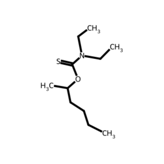 CCCCC(C)OC(=S)N(CC)CC